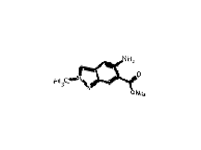 COC(=O)c1cc2nn(C)cc2cc1N